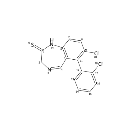 S=C1CN=Cc2c(ccc(Cl)c2-c2ccccc2Cl)N1